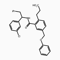 CC(C)CC(NC(=O)c1cc(COc2ccccc2)ccc1CCC(=O)O)c1cccc(Cl)c1